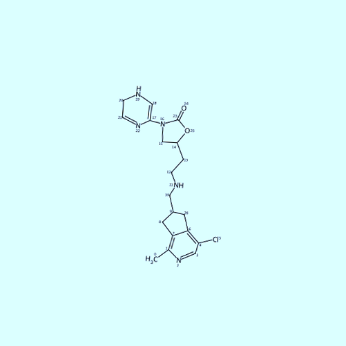 Cc1ncc(Cl)c2c1CC(CNCCC1CN(C3=CNCC=N3)C(=O)O1)C2